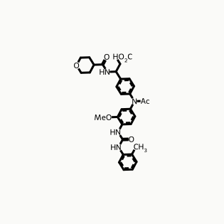 COc1cc(N(C(C)=O)c2ccc(C(CC(=O)O)NC(=O)C3CCOCC3)cc2)ccc1NC(=O)Nc1ccccc1C